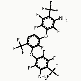 Nc1c(F)c(Oc2ccc(C(F)(F)F)c(Oc3c(F)c(N)c(C(F)(F)F)c(F)c3F)c2F)c(F)c(F)c1C(F)(F)F